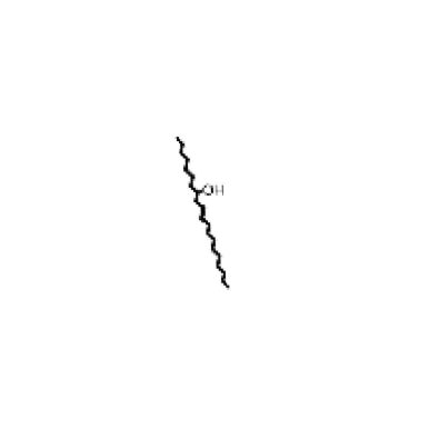 CCCCCCCCCCCCC(O)CCCCCCC